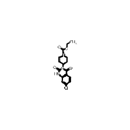 CCOC(=O)N1CCC(n2c(=O)[nH]c3cc(Cl)ccc3c2=O)CC1